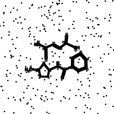 CN1CCC(NC(=O)c2ccccc2)C1.O=C(O)/C=C/C(=O)O